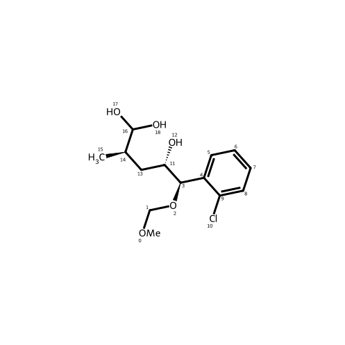 COCO[C@H](c1ccccc1Cl)[C@@H](O)C[C@@H](C)C(O)O